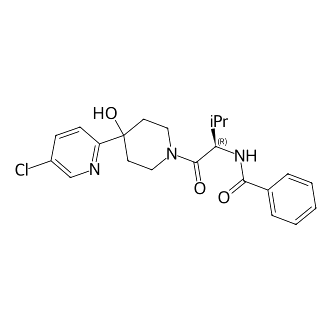 CC(C)[C@@H](NC(=O)c1ccccc1)C(=O)N1CCC(O)(c2ccc(Cl)cn2)CC1